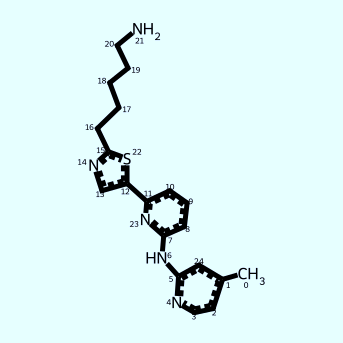 Cc1ccnc(Nc2cccc(-c3cnc(CCCCCN)s3)n2)c1